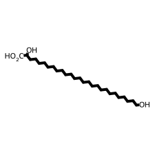 O=C(O)C(O)CCCCCCCCCCCCCCCCCCCCCCCCCO